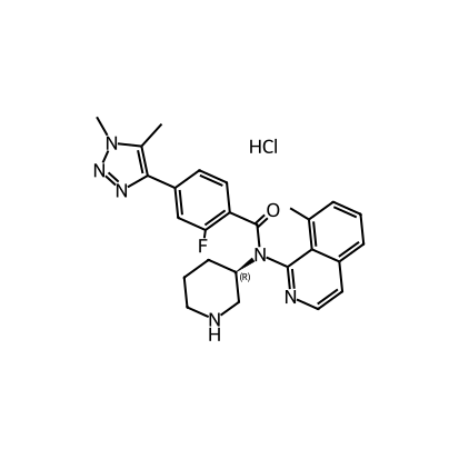 Cc1cccc2ccnc(N(C(=O)c3ccc(-c4nnn(C)c4C)cc3F)[C@@H]3CCCNC3)c12.Cl